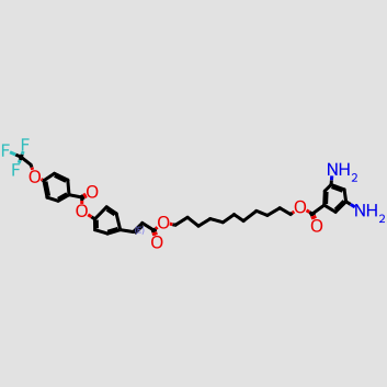 Nc1cc(N)cc(C(=O)OCCCCCCCCCCCOC(=O)/C=C/c2ccc(OC(=O)c3ccc(OCC(F)(F)F)cc3)cc2)c1